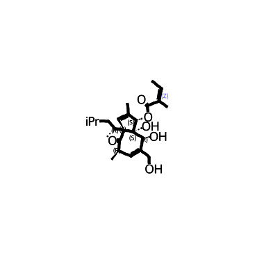 C/C=C(/C)C(=O)O[C@H]1C(C)=C[C@]2([C@H](C)CC(C)C)C(=O)[C@H](C)C=C(CO)[C@@H](O)[C@]12O